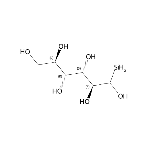 OC[C@@H](O)[C@@H](O)[C@H](O)[C@H](O)C(O)[SiH3]